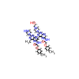 Cc1ccc(OCC(=O)Nc2cnc3nc(N4CCN(CCO)CC4)nc(C)c3n2)cc1.Cc1ccc(OCC(=O)Nc2cnc3nc(N4CCNCC4)nc(C)c3n2)cc1